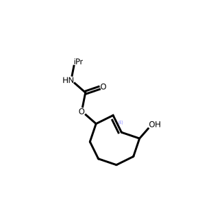 CC(C)NC(=O)OC1/C=C/C(O)CCCC1